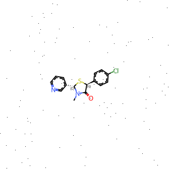 CN1C(=O)[C@H](c2ccc(Cl)cc2)S[C@H]1c1cccnc1